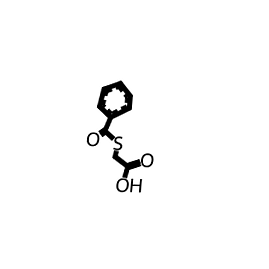 O=C(O)CSC(=O)c1ccccc1